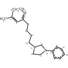 C/N=C(\C=C(C)C)CCCCN1CCN(c2ccccc2)C1